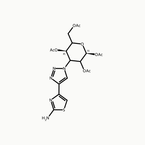 CC(=O)OCC1O[C@@H](OC(C)=O)C(OC(C)=O)C(n2cc(-c3csc(N)n3)nn2)[C@H]1OC(C)=O